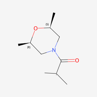 C[C](C)C(=O)N1C[C@@H](C)O[C@@H](C)C1